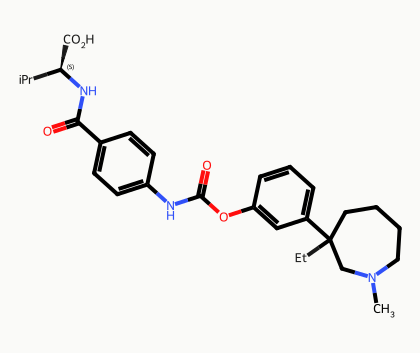 CCC1(c2cccc(OC(=O)Nc3ccc(C(=O)N[C@H](C(=O)O)C(C)C)cc3)c2)CCCCN(C)C1